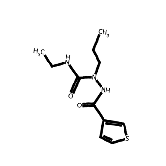 CCCN(NC(=O)c1ccsc1)C(=O)NCC